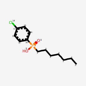 CCCCCCCP(=O)(O)c1ccc(Cl)cc1